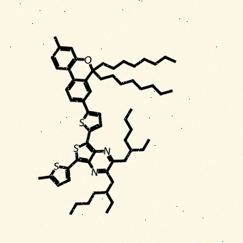 CCCCCCCCC1(CCCCCCCC)Oc2cc(C)ccc2-c2ccc(-c3ccc(-c4sc(-c5ccc(C)s5)c5nc(CC(CC)CCCC)c(CC(CC)CCCC)nc45)s3)cc21